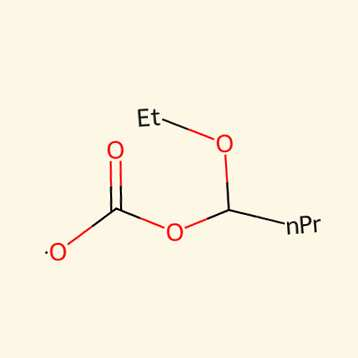 CCCC(OCC)OC([O])=O